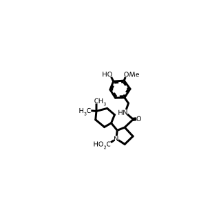 COc1cc(CNC(=O)C2CCN(C(=O)O)C2C2CCC(C)(C)CC2)ccc1O